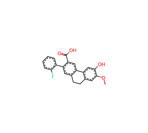 COc1cc2c(cc1O)-c1cc(C(=O)O)c(-c3ccccc3F)cc1CC2